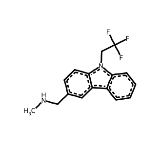 CNCc1ccc2c(c1)c1ccccc1n2CC(F)(F)F